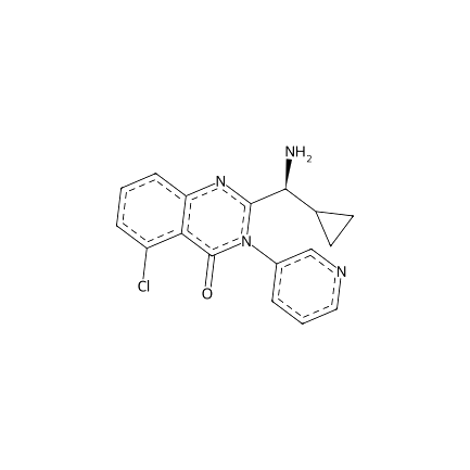 N[C@H](c1nc2cccc(Cl)c2c(=O)n1-c1cccnc1)C1CC1